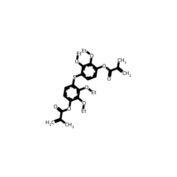 C=C(C)C(=O)Oc1ccc(Sc2ccc(OC(=O)C(=C)C)c(OCC)c2OCC)c(OCC)c1OCC